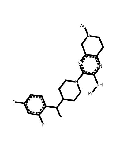 CC(=O)N1CCc2nc(NC(C)C)c(N3CCC(C(F)c4ccc(F)cc4F)CC3)nc2C1